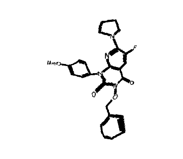 COc1ccc(-n2c(=O)n(OCc3ccccc3)c(=O)c3cc(F)c(N4CCCC4)nc32)cc1